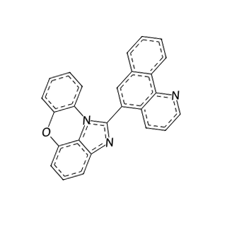 c1ccc2c(c1)Oc1cccc3nc(-c4cc5ccccc5c5ncccc45)n-2c13